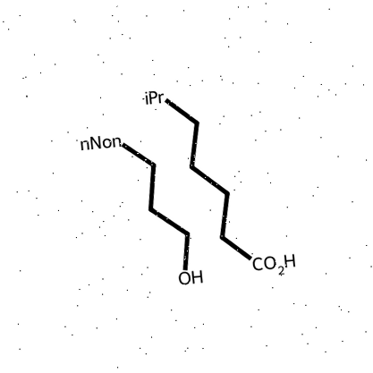 CC(C)CCCCC(=O)O.CCCCCCCCCCCCO